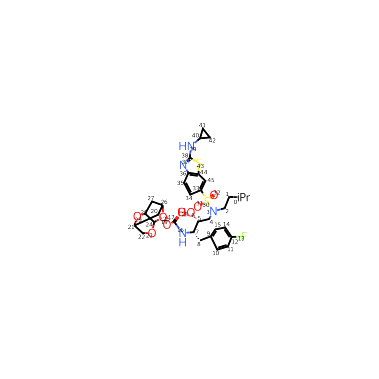 CC(C)CCN(C[C@@H](O)[C@H](Cc1ccc(F)cc1)NC(=O)O[C@@H]1C2COC3OC1CC3O2)S(=O)(=O)c1ccc2nc(NC3CC3)sc2c1